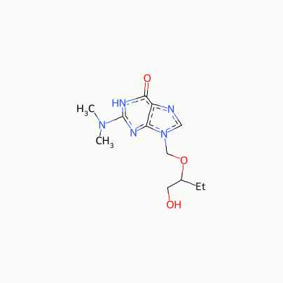 CCC(CO)OCn1cnc2c(=O)[nH]c(N(C)C)nc21